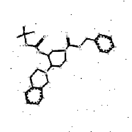 CC(C)(C)OC(=O)NC1CN(C(=O)OCc2ccccc2)CCC1N1CCc2ccccc2C1